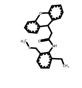 CCc1cccc(CSC)c1NC(=O)CC1c2ccccc2Oc2ccccc21